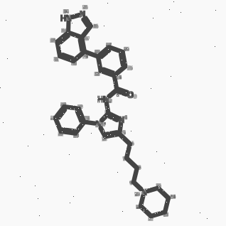 O=C(Nc1nc(CCCCN2CCCCC2)cn1-c1ccccc1)c1cccc(-c2cccc3[nH]ncc23)c1